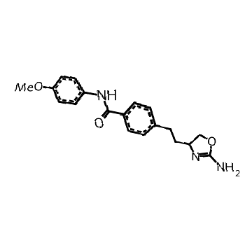 COc1ccc(NC(=O)c2ccc(CCC3COC(N)=N3)cc2)cc1